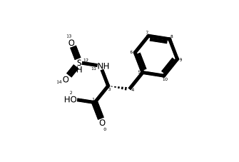 O=C(O)[C@@H](Cc1ccccc1)N[SH](=O)=O